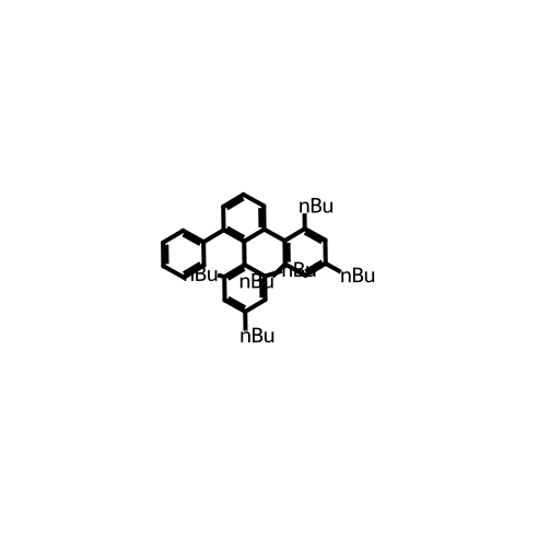 CCCCc1cc(CCCC)c(-c2cccc(-c3ccccc3)c2-c2c(CCCC)cc(CCCC)cc2CCCC)c(CCCC)c1